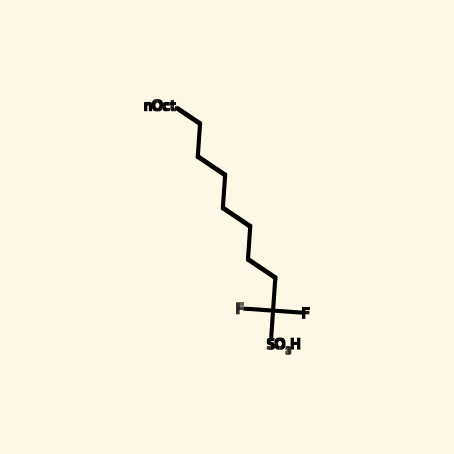 CCCCCCCCCCCCCCCC(F)(F)S(=O)(=O)O